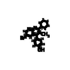 CC1C(C2CCCCC2)N=C2N=CC(Br)=CN2C1c1ccc(O)cc1